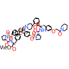 COC(=O)[C@H](Cc1ccc(OCCN2CCC(OC(=O)[C@H](Cc3ccc(OCC(=O)N4CCCCC4)cc3)NC(=O)[C@@H]3CCCN3S(=O)(=O)c3ccc(C)cc3)(c3ccccc3)CC2)cc1)NC(=O)[C@@H]1CCCN1S(=O)(=O)c1ccc(C)cc1